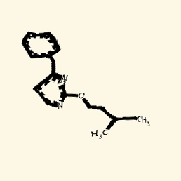 CC(C)CCOc1nccc(-c2ccccc2)n1